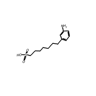 Nc1cccc(CCCCCCCS(=O)(=O)O)c1